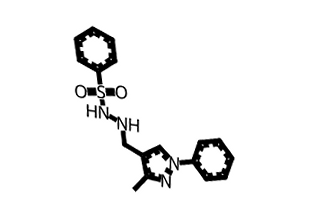 Cc1nn(-c2ccccc2)cc1CNNS(=O)(=O)c1ccccc1